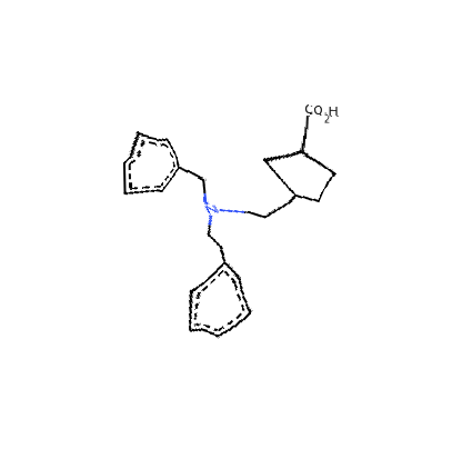 O=C(O)C1CCC(CN(Cc2ccccc2)Cc2ccccc2)C1